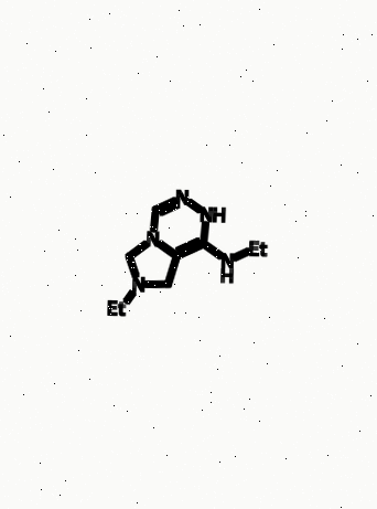 CCNC1=C2CN(CC)CN2C=NN1